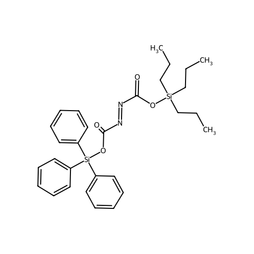 CCC[Si](CCC)(CCC)OC(=O)/N=N/C(=O)O[Si](c1ccccc1)(c1ccccc1)c1ccccc1